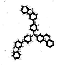 c1ccc2c(c1)ccc1cc(N(c3ccc(-c4ccc5sc6ccccc6c5c4)cc3)c3ccc(-c4ccc5sc6ccccc6c5c4)cc3)ccc12